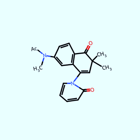 CC(=O)N(C)c1ccc2c(c1)C(n1ccccc1=O)=CC(C)(C)C2=O